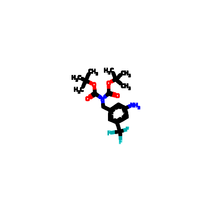 CC(C)(C)OC(=O)N(Cc1cc(N)cc(C(F)(F)F)c1)C(=O)OC(C)(C)C